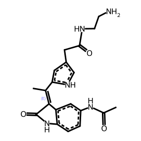 CC(=O)Nc1ccc2c(c1)/C(=C(/C)c1cc(CC(=O)NCCN)c[nH]1)C(=O)N2